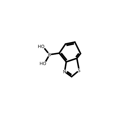 OB(O)c1cccc2scnc12